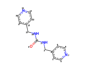 O=C(NCc1ccncc1)NCc1ccncc1